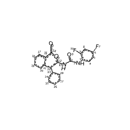 O=C(Nc1ccc(F)cc1F)Nc1oc(=O)c2ccccc2c1-c1ccccc1